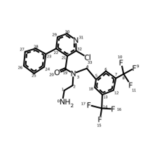 NCCN(Cc1cc(C(F)(F)F)cc(C(F)(F)F)c1)C(=O)c1c(-c2ccccc2)ccnc1Cl